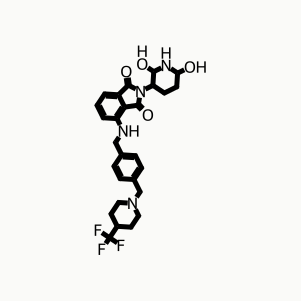 O=C1c2cccc(NCc3ccc(CN4CCC(C(F)(F)F)CC4)cc3)c2C(=O)N1C1CCC(O)NC1O